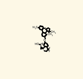 Cc1ccc(F)c(-c2ccc(COc3ccc4c(c3F)[C@@]3(CCC4(F)F)C[C@@H]3C(=O)O)cc2C2=CCCC2(C)C)c1